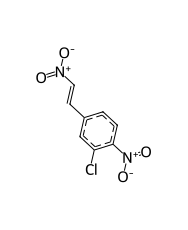 O=[N+]([O-])C=Cc1ccc([N+](=O)[O-])c(Cl)c1